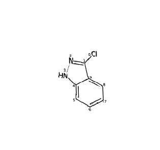 Clc1n[nH]c2cc[c]cc12